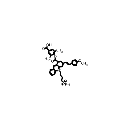 COc1ccc(C=Cc2cc(C(=O)Oc3c(C)cc(C(=O)O)cc3C)c3cc4ccccc4[n+](CCCCS(=O)(=O)O)c3c2)cc1